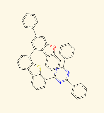 c1ccc(-c2cc(-c3cccc4c3sc3c(-c5nc(-c6ccccc6)nc(-c6ccccc6)n5)cccc34)c3c(c2)oc2ccccc23)cc1